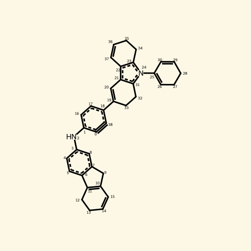 c1c(Nc2ccc3c(c2)CC2=C3CCC=C2)ccc(C2=Cc3c4c(n(C5=CCCC=C5)c3CC2)CCC=C4)c#1